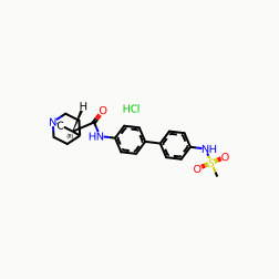 CS(=O)(=O)Nc1ccc(-c2ccc(NC(=O)[C@H]3CN4CCC3CC4)cc2)cc1.Cl